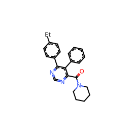 CCc1ccc(-c2ncnc(C(=O)N3CCCCC3)c2-c2ccccc2)cc1